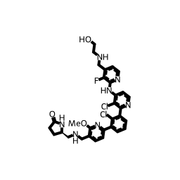 COc1nc(-c2cccc(-c3nccc(Nc4nccc(CNCCO)c4F)c3Cl)c2Cl)ccc1CNC[C@H]1CCC(=O)N1